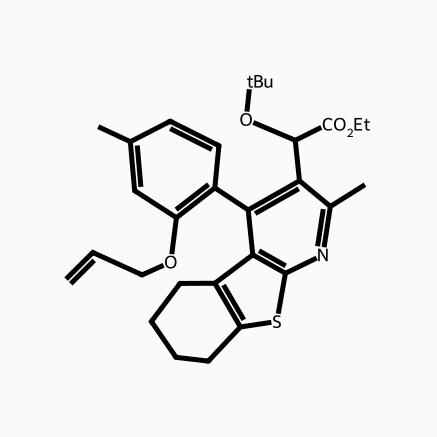 C=CCOc1cc(C)ccc1-c1c(C(OC(C)(C)C)C(=O)OCC)c(C)nc2sc3c(c12)CCCC3